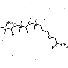 CCCC[Si](C)(C)C(CC)O[Si](C)(C)C(C)O[Si](C)(C)CCCOCC(F)C(F)(F)F